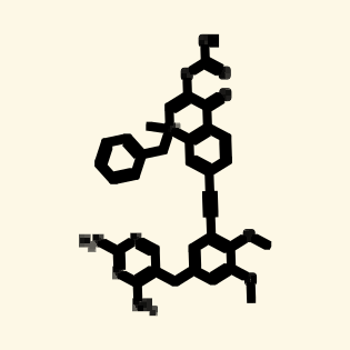 COc1cc(Cc2cnc(N)nc2N)cc(C#Cc2ccc3c(c2)[N+](C)(Cc2ccccc2)C=C(OC(=O)O)C3=O)c1OC